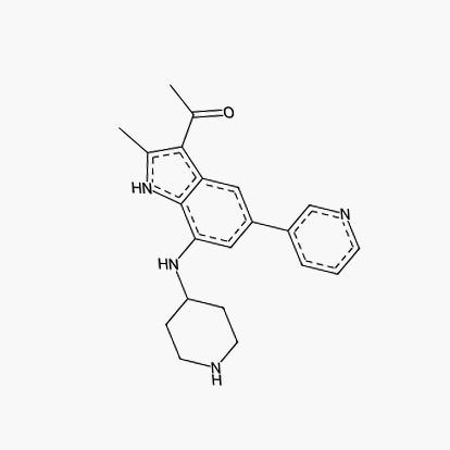 CC(=O)c1c(C)[nH]c2c(NC3CCNCC3)cc(-c3cccnc3)cc12